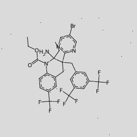 CCOC(=O)N1c2ccc(C(F)(F)F)cc2CC(Cc2cc(C(F)(F)F)cc(C(F)(F)F)c2)(c2ncc(Br)cn2)C1(N)CC